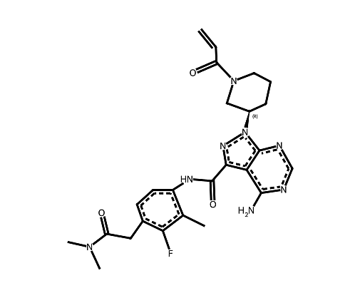 C=CC(=O)N1CCC[C@@H](n2nc(C(=O)Nc3ccc(CC(=O)N(C)C)c(F)c3C)c3c(N)ncnc32)C1